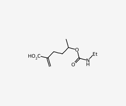 C=C(CCC(C)OC(=O)NCC)C(=O)O